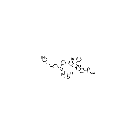 COC(=O)c1ccc(CN(Cc2cccc(-c3cccc(C(=O)N4CCC(CCCC5CCNCC5)CC4)c3)c2)C(=O)Cc2ccccc2Br)cc1.O=C(O)C(F)(F)F